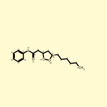 CCCCCC[C@@H]1CC(CC(=O)Sc2ccccc2)OO1